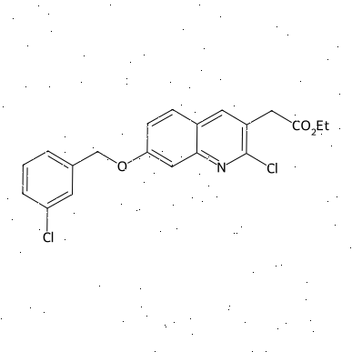 CCOC(=O)Cc1cc2ccc(OCc3cccc(Cl)c3)cc2nc1Cl